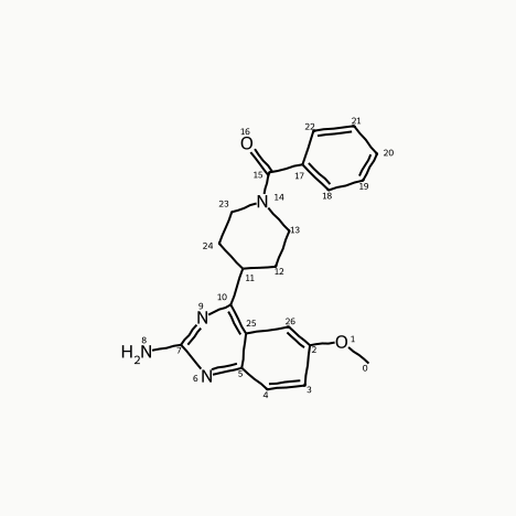 COc1ccc2nc(N)nc(C3CCN(C(=O)c4ccccc4)CC3)c2c1